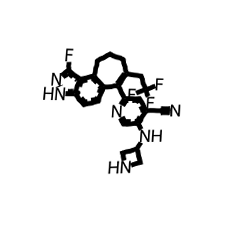 N#Cc1cc(C2=C(CC(F)(F)F)CCCc3c2ccc2[nH]nc(F)c32)ncc1NC1CNC1